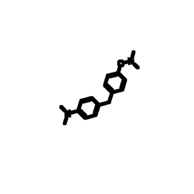 CN(C)Oc1ccc(Cc2ccc(N(C)C)cc2)cc1